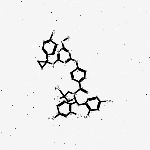 CCOc1nc(Nc2ccc(C(=O)N(Cc3ccc(OC)cc3C)CC(C)(O)CNCc3ccc(OC)cc3C)cc2)nc(NC2(c3ccc(Cl)cc3)CC2)n1